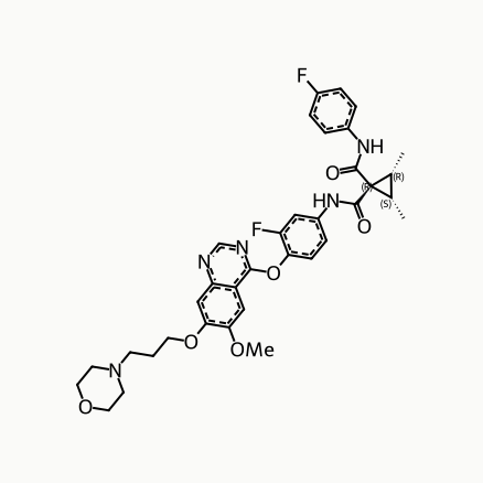 COc1cc2c(Oc3ccc(NC(=O)[C@@]4(C(=O)Nc5ccc(F)cc5)[C@H](C)[C@@H]4C)cc3F)ncnc2cc1OCCCN1CCOCC1